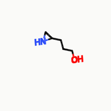 OCCCC1CN1